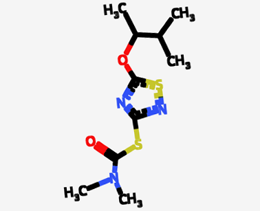 CC(C)C(C)Oc1nc(SC(=O)N(C)C)ns1